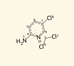 ClCCl.Nc1ccc(Cl)cn1